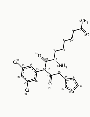 N[C@@H](CCCSCC(=O)C(F)(F)F)C(=O)N(C(=O)Cc1ccsc1)c1cc(Cl)cc(Cl)c1